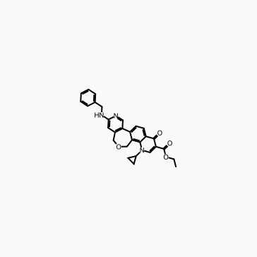 CCOC(=O)c1cn(C2CC2)c2c3c(ccc2c1=O)-c1cnc(NCc2ccccc2)cc1COC3